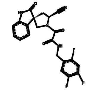 N#C[C@@H]1C[C@@]2(CN1C(=O)C(=O)NCc1cc(F)c(F)cc1F)C(=O)Nc1ccccc12